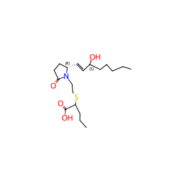 CCCCC[C@H](O)C=C[C@H]1CCC(=O)N1CCSC(CCC)C(=O)O